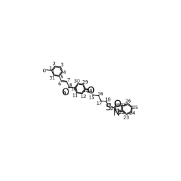 Cc1cccc(C=CC(=O)c2ccc(OCCCCSc3nc4ccccc4o3)cc2)c1